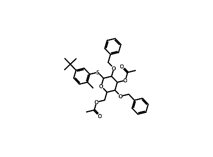 CC(=O)OCC1OC(Sc2cc(C(C)(C)C)ccc2C)C(OCc2ccccc2)C(OC(C)=O)C1OCc1ccccc1